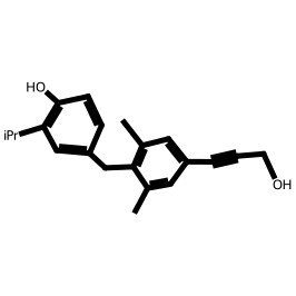 Cc1cc(C#CCO)cc(C)c1Cc1ccc(O)c(C(C)C)c1